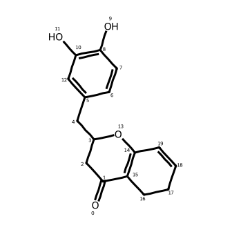 O=C1CC(Cc2ccc(O)c(O)c2)OC2=C1CCC=C2